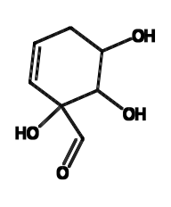 O=CC1(O)C=CCC(O)C1O